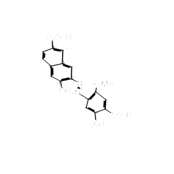 COc1cc(S(=O)(=O)O)c(C)cc1/N=N/c1cc2cc(S(=O)(=O)O)ccc2cc1O